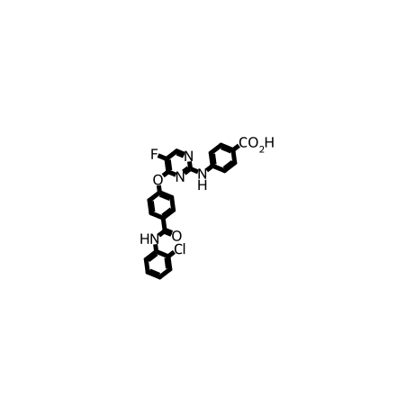 O=C(O)c1ccc(Nc2ncc(F)c(Oc3ccc(C(=O)Nc4ccccc4Cl)cc3)n2)cc1